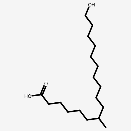 CC(CCCCCCCCCCO)CCCCCC(=O)O